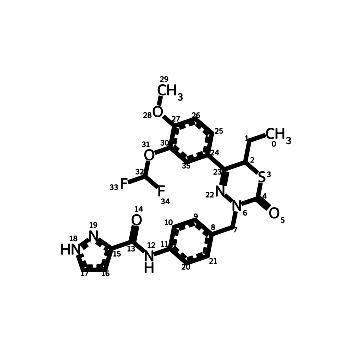 CCC1SC(=O)N(Cc2ccc(NC(=O)c3cc[nH]n3)cc2)N=C1c1ccc(OC)c(OC(F)F)c1